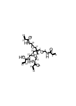 C=CC(=O)NCOCC(COCNC(=O)C=C)(COCNC(=O)C=C)COCNC(O)C=C